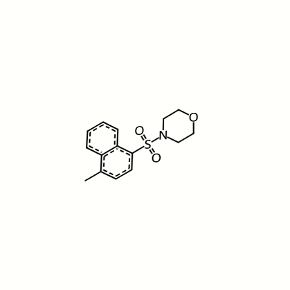 Cc1ccc(S(=O)(=O)N2CCOCC2)c2ccccc12